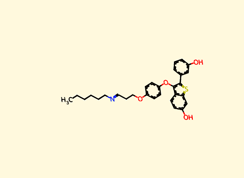 CCCCCCN=CCCOc1ccc(Oc2c(-c3cccc(O)c3)sc3cc(O)ccc23)cc1